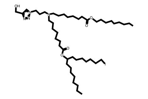 CCCCCCCCCOC(=O)CCCCCCCN(CCCCCCCC(=O)OC(CCCCCCCC)CCCCCCCI)CCCn1cc(CO)nn1